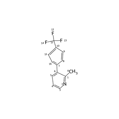 Cc1ncccc1-c1ccc(C(F)(F)F)cc1